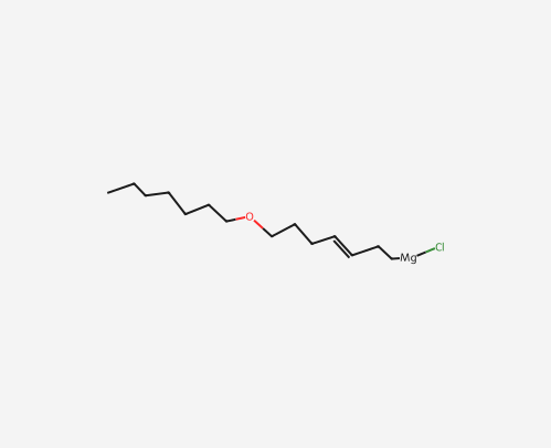 CCCCCCCOCCC/C=C/C[CH2][Mg][Cl]